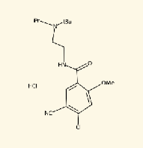 COc1cc(Cl)c(C#N)cc1C(=O)NCCN(C(C)C)C(C)(C)C.Cl